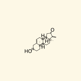 C=C1C(=O)C[C@H]2[C@@H]3CC=C4C[C@@H](O)CC[C@]4(C)[C@H]3CC[C@]12C